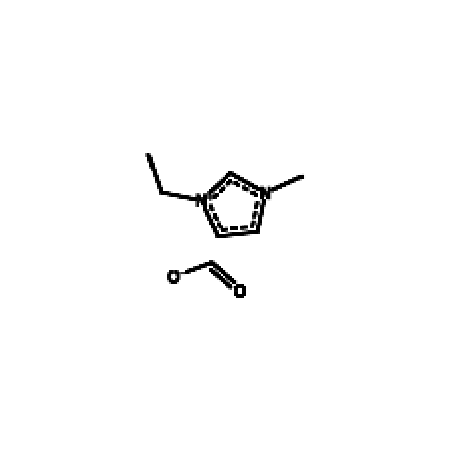 CC[n+]1ccn(C)c1.O=C[O-]